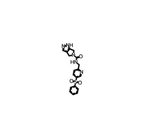 O=C(NCc1ccc(S(=O)(=O)c2ccccc2)cn1)N1Cc2cn[nH]c2C1